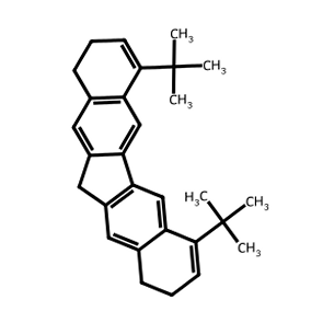 CC(C)(C)C1=CCCc2cc3c(cc21)-c1cc2c(cc1C3)CCC=C2C(C)(C)C